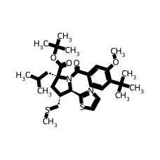 COc1cc(C(=O)N2[C@@H](c3nccs3)[C@H](CSC)C[C@@]2(CC(C)C)C(=O)OC(C)(C)C)ccc1C(C)(C)C